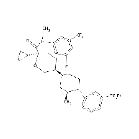 CCOC(=O)c1cccc([C@H]2CCN([C@@H]3CC[C@@](C(=O)N(C)c4cc(F)cc(C(F)(F)F)c4)(C4CC4)OC3)C[C@@H]2C)c1